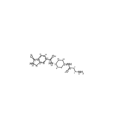 NCCC(=O)N[C@H]1CC[C@H](NC(=O)c2ccc3c(c2)CNC3=O)CC1